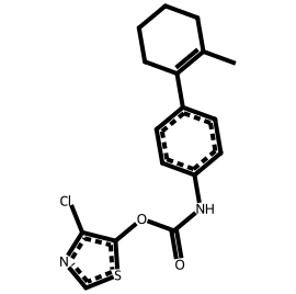 CC1=C(c2ccc(NC(=O)Oc3scnc3Cl)cc2)CCCC1